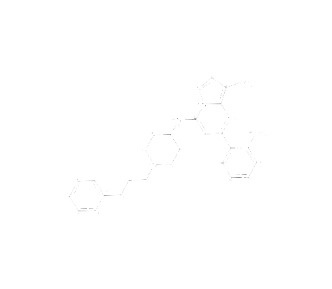 Bc1cnn2c(NC3CCN(CCCc4ccccc4)CC3)cc(-c3ccccc3C)nc12